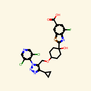 O=C(O)c1cc(F)c2nc(C3(O)CCC(OCc4c(C5CC5)nnn4-c4c(Cl)cncc4Cl)CC3)sc2c1